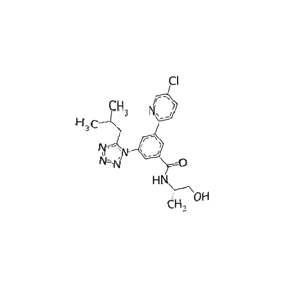 CC(C)Cc1nnnn1-c1cc(C(=O)N[C@@H](C)CO)cc(-c2ccc(Cl)cn2)c1